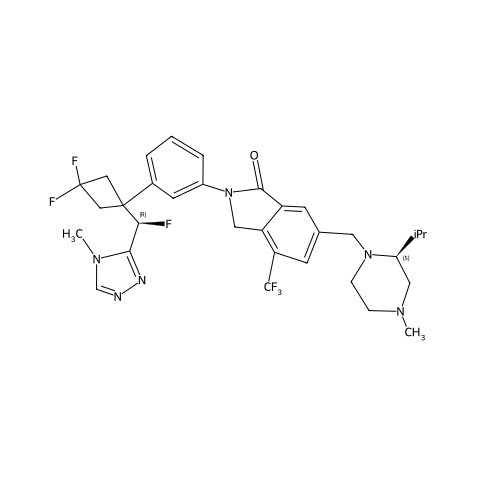 CC(C)[C@H]1CN(C)CCN1Cc1cc2c(c(C(F)(F)F)c1)CN(c1cccc(C3([C@@H](F)c4nncn4C)CC(F)(F)C3)c1)C2=O